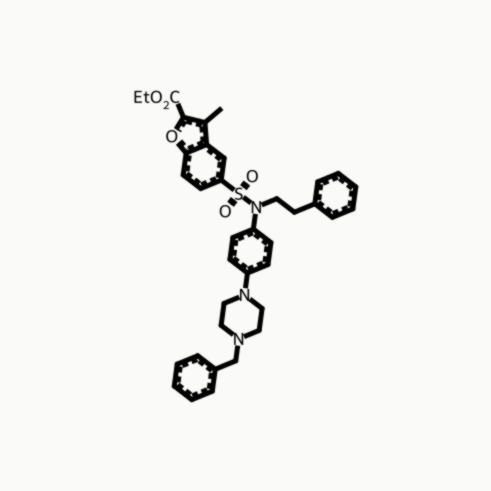 CCOC(=O)c1oc2ccc(S(=O)(=O)N(CCc3ccccc3)c3ccc(N4CCN(Cc5ccccc5)CC4)cc3)cc2c1C